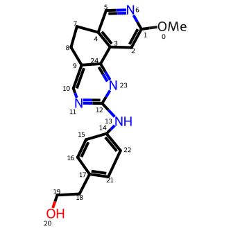 COc1cc2c(cn1)CCc1cnc(Nc3ccc(CCO)cc3)nc1-2